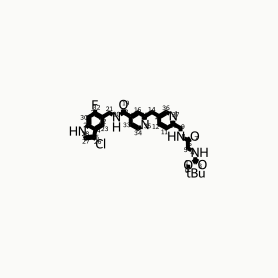 CC(C)(C)OC(=O)NCC(=O)NCc1ccc(Cc2cc(C(=O)NCc3cc4c(Cl)c[nH]c4cc3F)ccn2)cn1